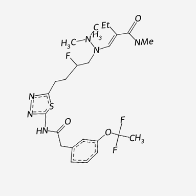 CC/C(=C\N(CC(F)CCc1nnc(NC(=O)Cc2cccc(OC(C)(F)F)c2)s1)N(C)C)C(=O)NC